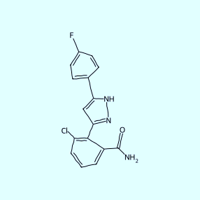 NC(=O)c1cccc(Cl)c1-c1cc(-c2ccc(F)cc2)[nH]n1